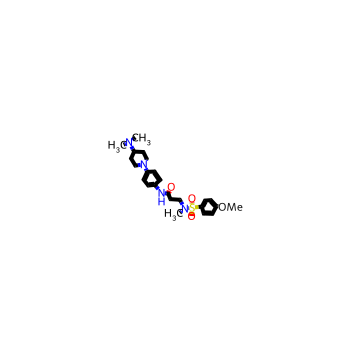 COc1ccc(S(=O)(=O)N(C)CCC(=O)Nc2ccc(N3CCC(N(C)C)CC3)cc2)cc1